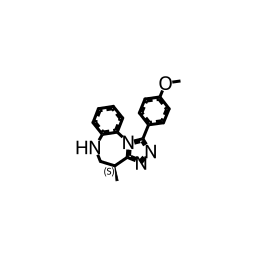 COc1ccc(-c2nnc3n2-c2ccccc2NC[C@@H]3C)cc1